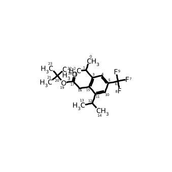 CC(C)c1cc(C(F)(F)F)cc(C(C)C)c1CC(=O)OC(C)(C)C